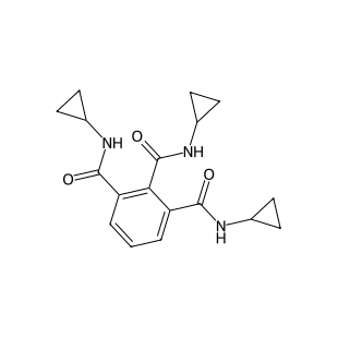 O=C(NC1CC1)c1cccc(C(=O)NC2CC2)c1C(=O)NC1CC1